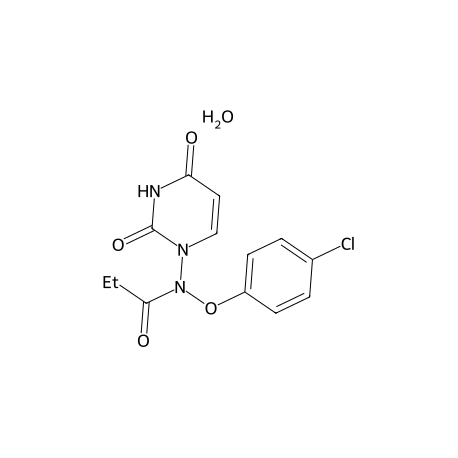 CCC(=O)N(Oc1ccc(Cl)cc1)n1ccc(=O)[nH]c1=O.O